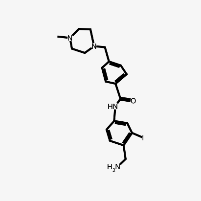 CN1CCN(Cc2ccc(C(=O)Nc3ccc(CN)c(I)c3)cc2)CC1